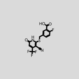 N#Cc1c(C(F)(F)F)cc(=O)[nH]c1SCc1ccc(F)c(C(=O)O)c1